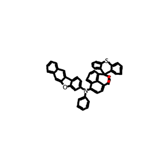 c1ccc(N(c2ccc3c(c2)oc2cc4ccccc4cc23)c2ccc3c4c(cccc24)C2(c4ccccc4Sc4ccccc42)c2ccccc2-3)cc1